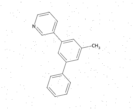 Cc1cc(-c2ccccc2)cc(-c2cccnc2)c1